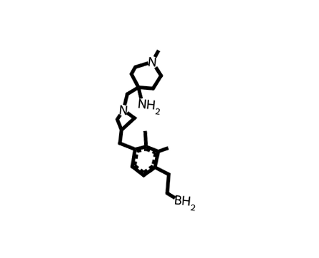 BCCc1ccc(CC2CN(CC3(N)CCN(C)CC3)C2)c(C)c1C